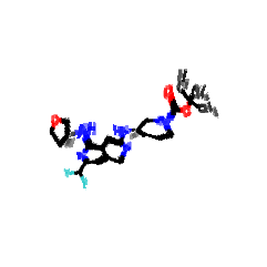 CC(C)(C)OC(=O)N1CCC[C@H](Nc2cc3c(N[C@@H]4CCOC4)nc(C(F)F)cc3cn2)C1